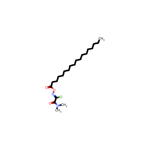 CCCCCCCCCCCCCCCCCC(=O)ON=C(Cl)C(=O)N(C)C